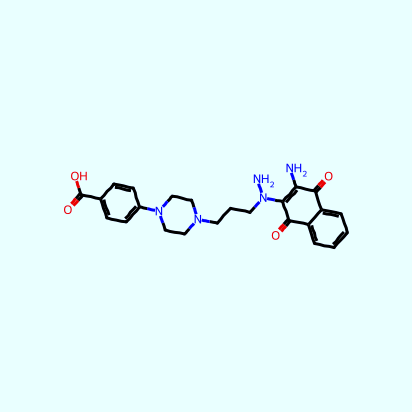 NC1=C(N(N)CCCN2CCN(c3ccc(C(=O)O)cc3)CC2)C(=O)c2ccccc2C1=O